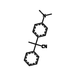 CN(C)c1ccc(C(C)(C#N)c2ccccc2)cc1